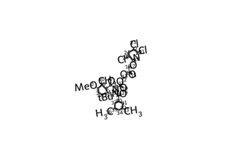 COc1cccc(C(=O)N(C(=O)OCOC(=O)COc2nc(Cl)c(Cl)cc2Cl)N(C(=O)c2cc(C)cc(C)c2)C(C)(C)C)c1C